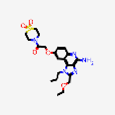 CCCn1c(COCC)nc2c(N)nc3ccc(OCC(=O)N4CCS(=O)(=O)CC4)cc3c21